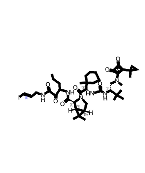 CCCC(NC(=O)[C@@H]1[C@@H]2[C@H](CN1C(=O)[C@@H](NC(=O)N[C@H](CN(C)c1c(C3(C)CC3)c(=O)c1=O)C(C)(C)C)C1(C)CCCCC1)C2(C)C)C(=O)C(=O)NC/C=C/I